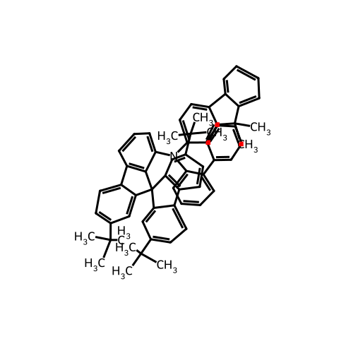 CC(C)(C)c1ccc2c(c1)C1(c3cc(C(C)(C)C)ccc3-2)c2cc(C(C)(C)C)ccc2-c2cccc(N(c3ccc4c(c3)C(C)(C)c3ccccc3-4)c3ccccc3-c3ccccc3)c21